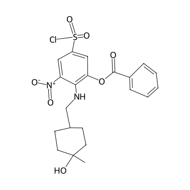 CC1(O)CCC(CNc2c(OC(=O)c3ccccc3)cc(S(=O)(=O)Cl)cc2[N+](=O)[O-])CC1